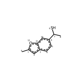 Cc1cc2ccc(C(C)S)cc2o1